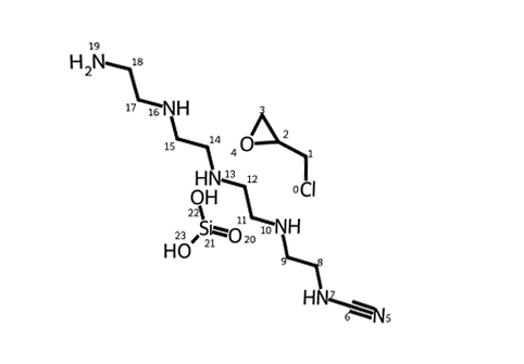 ClCC1CO1.N#CNCCNCCNCCNCCN.O=[Si](O)O